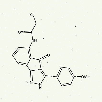 COc1ccc(-c2[nH]nc3c2C(=O)c2c(NC(=O)CCl)cccc2-3)cc1